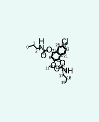 CCCNC(=O)Oc1cc(OC)c(OC(=O)NCCC)c2ccc(Cl)cc12